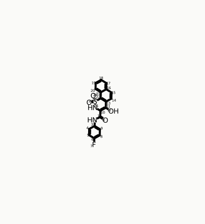 O=C(Nc1ccc(F)cc1)C1=C(O)c2ccc3ccccc3c2S(=O)(=O)N1